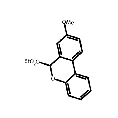 CCOC(=O)C1Oc2ccccc2-c2ccc(OC)cc21